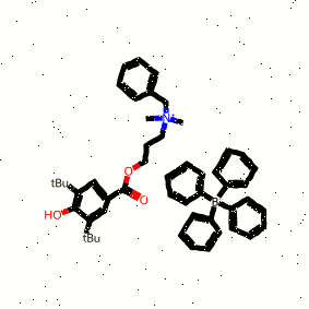 CC(C)(C)c1cc(C(=O)OCCC[N+](C)(C)Cc2ccccc2)cc(C(C)(C)C)c1O.c1ccc([B-](c2ccccc2)(c2ccccc2)c2ccccc2)cc1